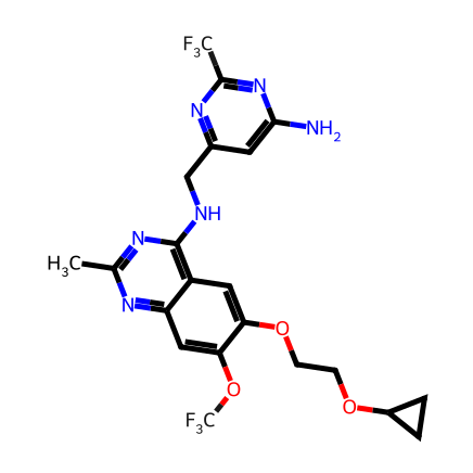 Cc1nc(NCc2cc(N)nc(C(F)(F)F)n2)c2cc(OCCOC3CC3)c(OC(F)(F)F)cc2n1